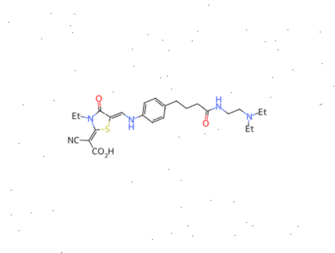 CCN(CC)CCNC(=O)CCCc1ccc(NC=c2sc(=C(C#N)C(=O)O)n(CC)c2=O)cc1